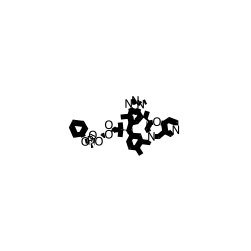 CC[C@@H]1CN(Cc2cc([C@@H](c3ccc4c(nnn4C)c3C)C(C)(C)C(=O)OCO[P@@](C)(=O)Oc3ccccc3)ccc2C)Cc2cnccc2O1